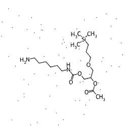 CC(=O)OC(COCCC[Si](C)(C)C)COC(=O)NCCCCCCN